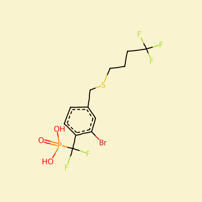 O=P(O)(O)C(F)(F)c1ccc(CSCCCC(F)(F)F)cc1Br